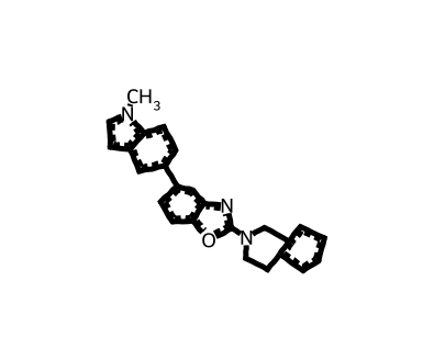 Cn1ccc2cc(-c3ccc4oc(N5CCc6ccccc6C5)nc4c3)ccc21